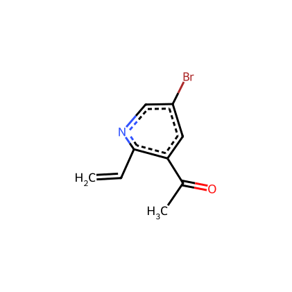 C=Cc1ncc(Br)cc1C(C)=O